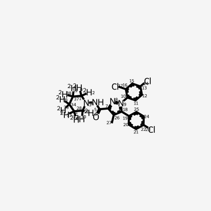 [2H]C1([2H])N(NC(=O)c2nn(-c3ccc(Cl)cc3Cl)c(-c3ccc(Cl)cc3)c2C)C([2H])([2H])C([2H])([2H])C([2H])([2H])C1([2H])[2H]